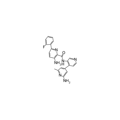 Cc1cc(-c2ccncc2NC(=O)c2nc(-c3ccccc3F)ccc2N)cc(N)n1